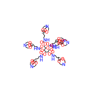 O=C(NCCC[Si]12OCCN(CCO1)CCO2)OCC(OC(=O)NCCC[Si]12OCCN(CCO1)CCO2)C(OC(=O)NCCC[Si]12OCCN(CCO1)CCO2)C(OC(=O)NCCC[Si]12OCCN(CCO1)CCO2)C(COC(=O)NCCC[Si]12OCCN(CCO1)CCO2)OC(=O)NCCC[Si]12OCCN(CCO1)CCO2